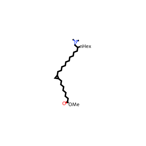 CCCCCCC(CCCCCCCCCCC1CC1CCCCCCCC(=O)OC)CN(C)C